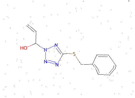 C=CC(O)n1nnc(SCc2ccccc2)n1